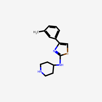 Cc1cccc(-c2csc(NC3CCNCC3)n2)c1